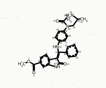 COC(=O)c1ccc2c(c1)NC(=O)C2=C(Nc1ccc(N(CC(C)N)C(C)=O)cc1)c1ccccc1